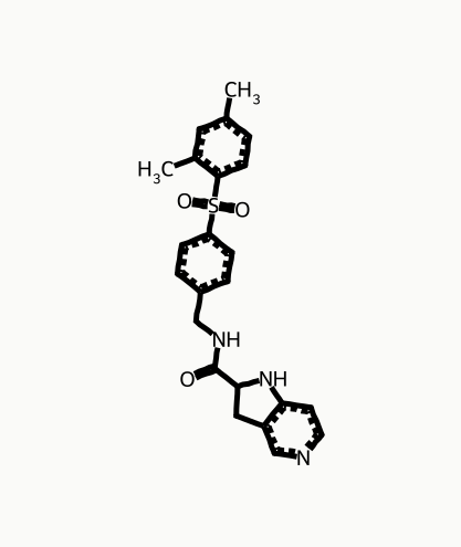 Cc1ccc(S(=O)(=O)c2ccc(CNC(=O)C3Cc4cnccc4N3)cc2)c(C)c1